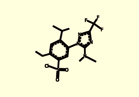 CCc1cc(C(C)C)c(-n2nc(C(F)(F)F)nc2N(C)C)cc1S(=O)(=O)Cl